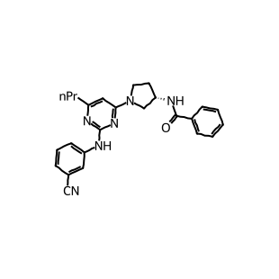 CCCc1cc(N2CC[C@H](NC(=O)c3ccccc3)C2)nc(Nc2cccc(C#N)c2)n1